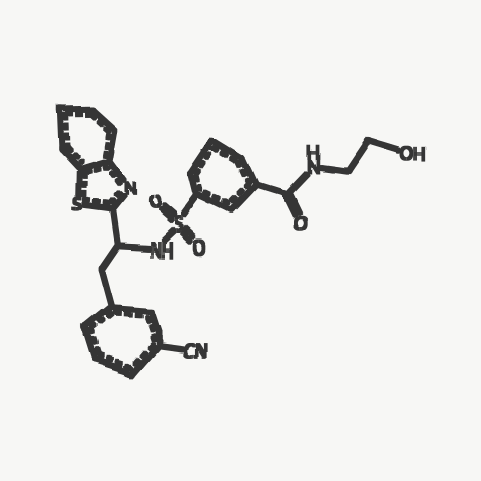 N#Cc1cccc(CC(NS(=O)(=O)c2cccc(C(=O)NCCO)c2)c2nc3ccccc3s2)c1